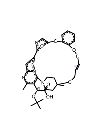 Cc1nc2cc3nn2c(c1[C@H](OC(C)(C)C)C(=O)O)N1CCC(C)(CC1)OC/C=C/COc1ccccc1Cc1cnc-3o1